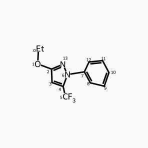 CCOc1cc(C(F)(F)F)n(-c2ccccc2)n1